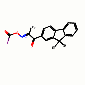 CCC1(CC)c2ccccc2-c2ccc(C(=O)/C(C)=N/OC(=O)I)cc21